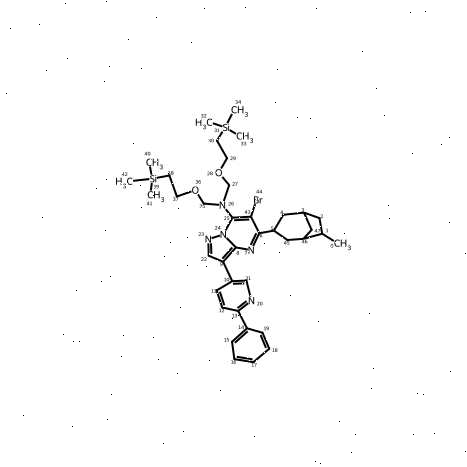 CC1CC2CC(c3nc4c(-c5ccc(-c6ccccc6)nc5)cnn4c(N(COCC[Si](C)(C)C)COCC[Si](C)(C)C)c3Br)CC1C2